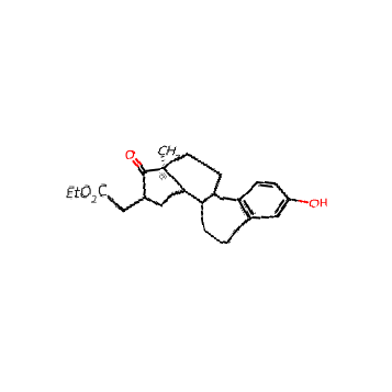 CCOC(=O)CC1CC2C3CCc4cc(O)ccc4C3CC[C@]2(C)C1=O